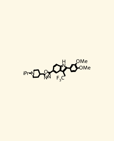 COc1ccc(-c2[nH]c3ccc(-c4nnc(C5CCN(C(C)C)CC5)o4)cc3c2CC(F)(F)F)cc1OC